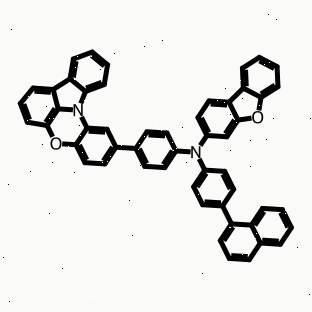 c1ccc2c(-c3ccc(N(c4ccc(-c5ccc6c(c5)-n5c7ccccc7c7cccc(c75)O6)cc4)c4ccc5c(c4)oc4ccccc45)cc3)cccc2c1